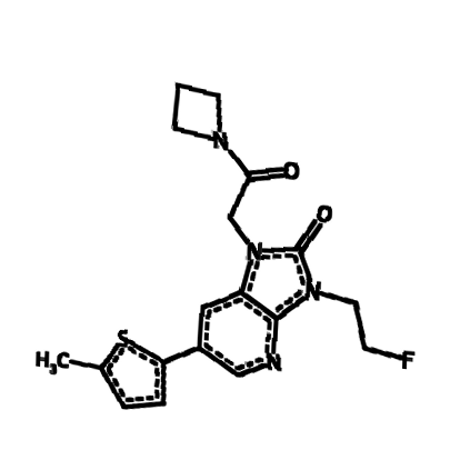 Cc1ccc(-c2cnc3c(c2)n(CC(=O)N2CCC2)c(=O)n3CCF)s1